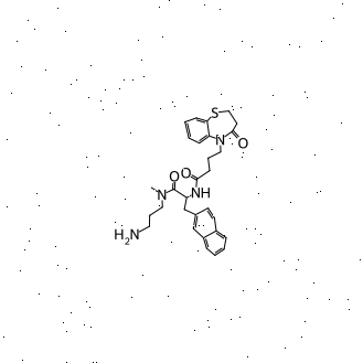 CN(CCCN)C(=O)C(Cc1ccc2ccccc2c1)NC(=O)CCCN1C(=O)CCSc2ccccc21